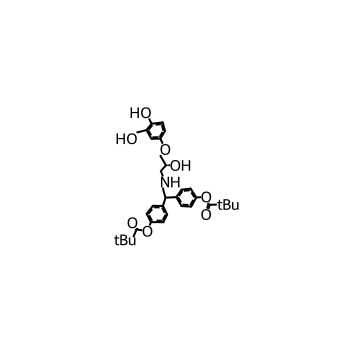 CC(C)(C)C(=O)Oc1ccc(C(CNC[C@H](O)COc2ccc(O)c(CO)c2)c2ccc(OC(=O)C(C)(C)C)cc2)cc1